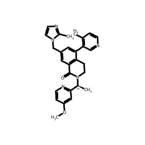 COc1ccnc([C@H](C)N2CCc3c(cc(Cn4ccnc4C)cc3-c3cnccc3C)C2=O)c1